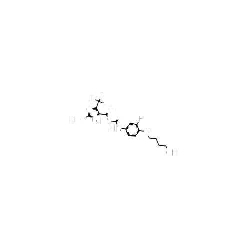 CCCCCOc1ccc(NC(=S)NC(=O)c2nc(C)oc2C(F)(F)F)cc1F